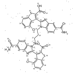 NC(=O)c1ccc2c(c1)nc(-c1c(C(=O)O)sc3cccc(Cl)c13)n2CCCCn1c(-c2c(C(=O)O)sc3cccc(Cl)c23)nc2cc(C(N)=O)ccc21